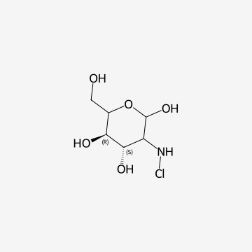 OCC1OC(O)C(NCl)[C@H](O)[C@H]1O